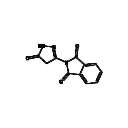 O=C1CC(N2C(=O)c3ccccc3C2=O)=NN1